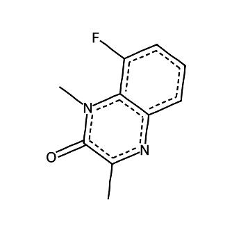 Cc1nc2cccc(F)c2n(C)c1=O